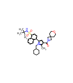 Cc1c(C(=O)N2CC3(CCOCC3)C2)cc(-c2ccc(S(=O)(=O)NC(C)(C)C)c3ccccc23)n1CC1CCCCC1